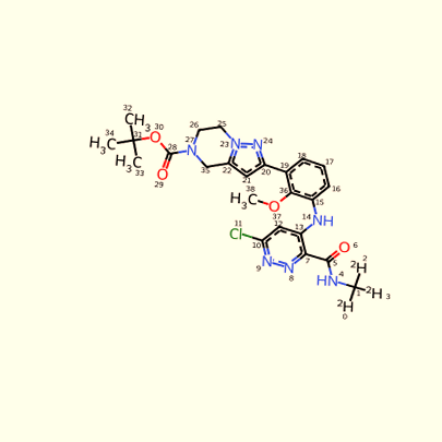 [2H]C([2H])([2H])NC(=O)c1nnc(Cl)cc1Nc1cccc(-c2cc3n(n2)CCN(C(=O)OC(C)(C)C)C3)c1OC